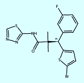 CC(C)(C(=O)Nc1nncs1)[C@@H](c1cccc(F)c1)c1ccc(Br)s1